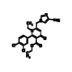 CCOC(=O)c1c(-c2ccc(Cl)c(Cl)c2)n(CC)c(Cn2cnc(C#N)c2)cc1=O